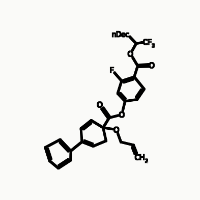 C=CCOC1(C(=O)Oc2ccc(C(=O)OC(CCCCCCCCCC)C(F)(F)F)c(F)c2)C=CC(c2ccccc2)=CC1